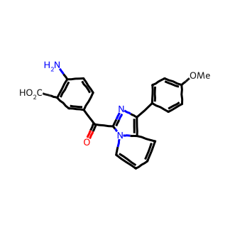 COc1ccc(-c2nc(C(=O)c3ccc(N)c(C(=O)O)c3)n3ccccc23)cc1